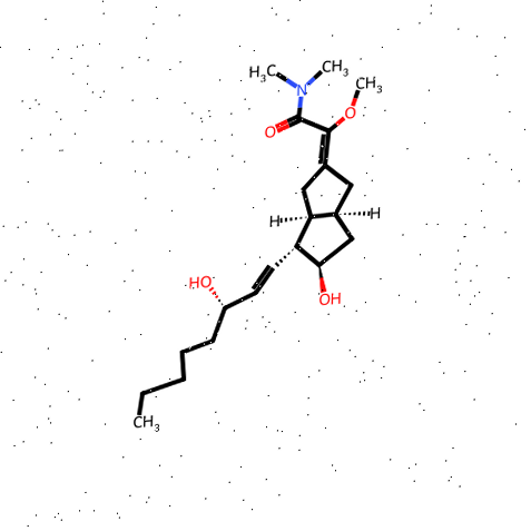 CCCCC[C@H](O)/C=C/[C@@H]1[C@H]2C/C(=C(/OC)C(=O)N(C)C)C[C@H]2C[C@H]1O